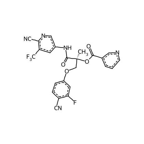 C[C@@](COc1ccc(C#N)c(F)c1)(OC(=O)c1cccnc1)C(=O)Nc1cnc(C#N)c(C(F)(F)F)c1